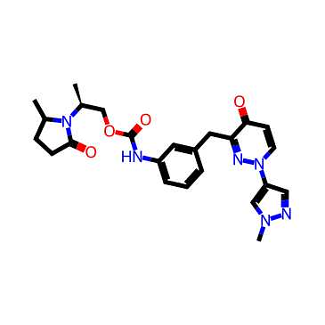 CC1CCC(=O)N1[C@@H](C)COC(=O)Nc1cccc(Cc2nn(-c3cnn(C)c3)ccc2=O)c1